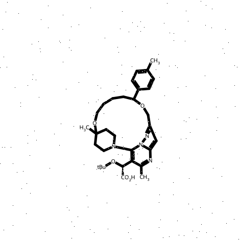 Cc1ccc(C2CCCCOC3(C)CCN(CC3)c3c([C@H](OC(C)(C)C)C(=O)O)c(C)nc4cc(nn34)CO2)cc1